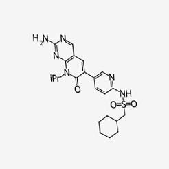 CC(C)n1c(=O)c(-c2ccc(NS(=O)(=O)CC3CCCCC3)nc2)cc2cnc(N)nc21